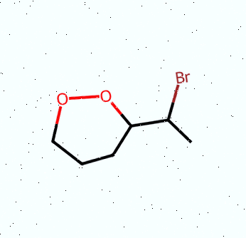 CC(Br)C1CCCOO1